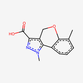 Cc1cccc2c1OCc1c(C(=O)O)nn(C)c1-2